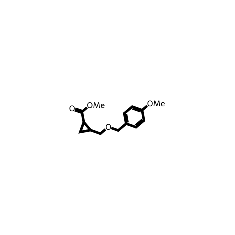 COC(=O)C1CC1COCc1ccc(OC)cc1